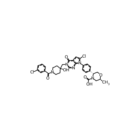 C[C@H]1CN(C(=O)O)[C@H](c2ccc(-n3c(Cl)cc4c(=O)n(CC5(O)CCN(C(=O)c6cccc(Cl)c6)CC5)cnc43)cc2)CO1